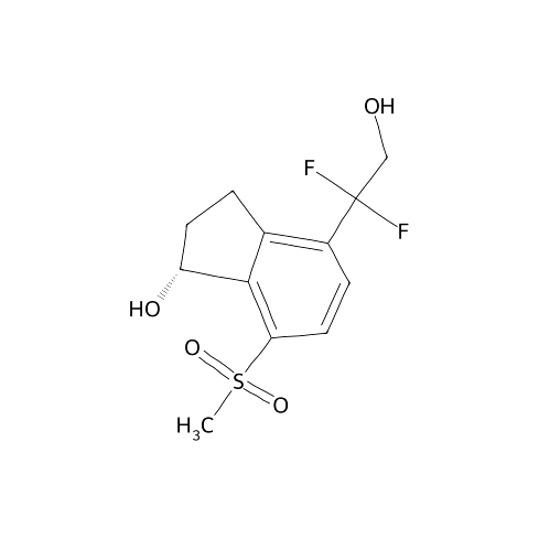 CS(=O)(=O)c1ccc(C(F)(F)CO)c2c1[C@H](O)CC2